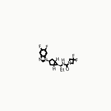 CC[C@@H](NC(=O)N1CC(F)(F)C1)[C@H]1[C@@H]2C[C@@H](n3cnc4cc(F)c(F)cc43)C[C@@H]21